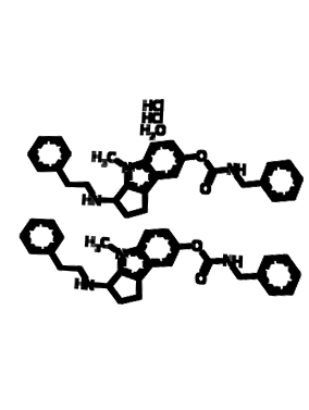 Cl.Cl.Cn1c2c(c3cc(OC(=O)NCc4ccccc4)ccc31)CCC2NCCc1ccccc1.Cn1c2c(c3cc(OC(=O)NCc4ccccc4)ccc31)CCC2NCCc1ccccc1.O